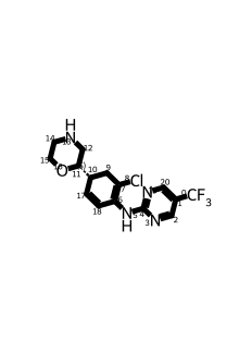 FC(F)(F)c1cnc(NC2=C(Cl)CC([C@H]3CNCCO3)C=C2)nc1